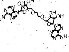 Nc1ncnc2c1ncn2[C@@H]1O[C@H](COCCOC[C@H]2O[C@@H](n3cnc4c(N)ncnc43)[C@H](O)[C@@H]2O)[C@@H](O)[C@H]1O